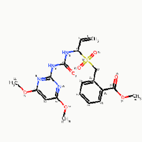 C=CC(NC(=O)Nc1nc(OC)cc(OC)n1)S(=O)(=O)Cc1ccccc1C(=O)OC